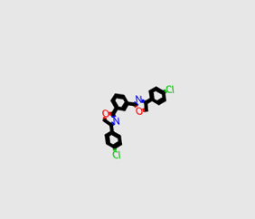 Clc1ccc(C2COC(c3cccc(C4=NC(c5ccc(Cl)cc5)CO4)c3)=N2)cc1